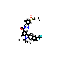 CC[S+]([O-])c1ccc(CNC(=O)c2ccc3c(c2)c(C)c(Cc2ccc(C(F)(F)F)cc2)n3C(C)C)cc1